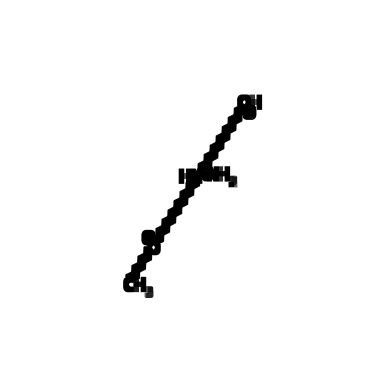 CCCCCCCCOC(=O)CCCCCCCCCCCCCNC(CN)CCCCCCCCCCCCCC(=O)O